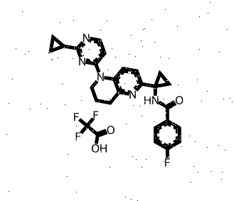 O=C(NC1(c2ccc3c(n2)CCCN3c2ccnc(C3CC3)n2)CC1)c1ccc(F)cc1.O=C(O)C(F)(F)F